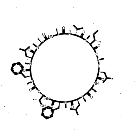 CC[C@H](C)[C@H]1C(=O)CN(C)C[C@@H](CC(C)C)C(=O)NC(C)C(=O)N(C)[C@@H](CC(C)C)C(=O)N(C)[C@@H](Cc2ccccc2)C(=O)N[C@@H]([C@@H](C)O)CC(=O)N(C)[C@@H](Cc2ccccc2)C(=O)N(C)[C@@H](CC(C)C)C(=O)N(C)[C@@H](C)C(=O)N[C@@H](C)C(=O)N[C@H](C(C)C)C(=O)N1C